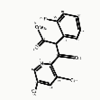 COC(=O)C(C(=O)c1ncc(Cl)cc1Cl)c1ccccc1F